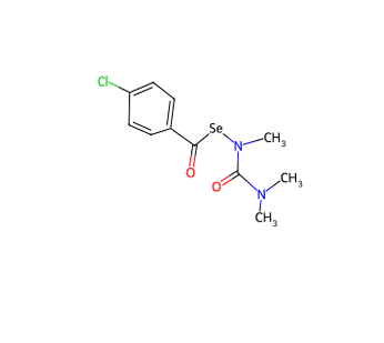 CN(C)C(=O)N(C)[Se]C(=O)c1ccc(Cl)cc1